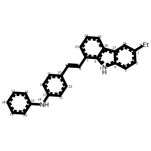 CCc1ccc2[nH]c3c(/C=C/c4ccc(Nc5ccccc5)cc4)cccc3c2c1